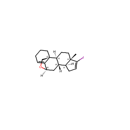 C[C@]12CC[C@H]3[C@@H](C[C@H]4OC[C@@]35CCCC=C45)[C@@H]1CC=C2I